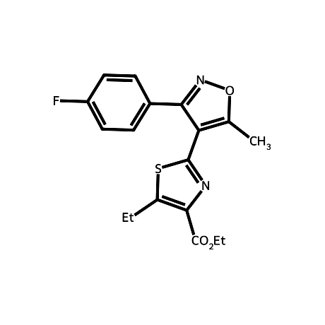 CCOC(=O)c1nc(-c2c(-c3ccc(F)cc3)noc2C)sc1CC